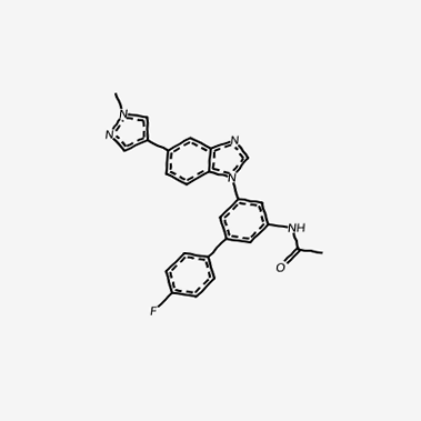 CC(=O)Nc1cc(-c2ccc(F)cc2)cc(-n2cnc3cc(-c4cnn(C)c4)ccc32)c1